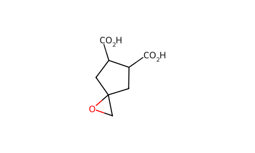 O=C(O)C1CC2(CO2)CC1C(=O)O